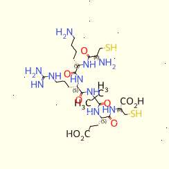 CC(C)(NC(=O)[C@H](CCCNC(=N)N)NC(=O)[C@H](CCCCN)NC(=O)[C@@H](N)CS)C(=O)N[C@@H](CCC(=O)O)C(=O)N[C@@H](CS)C(=O)O